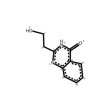 O=c1[nH]c(CCO)nc2ccccc12